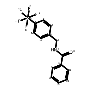 O=C(NCc1ccc(S(F)(F)(F)(F)F)cc1)c1ccccc1